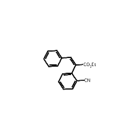 CCOC(=O)/C(=C/c1ccccc1)c1ccccc1C#N